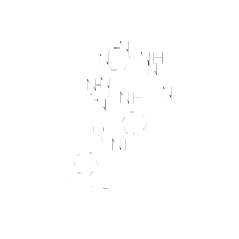 Cc1ccc(NC(=O)c2ccc(F)c(C(F)(F)F)c2)cc1Nc1ncnn1-c1cc(NN2CCN(C)CC2)ncn1